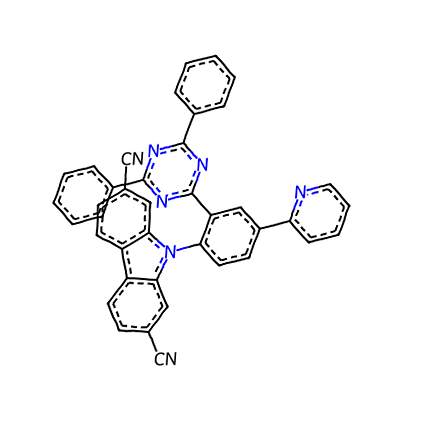 N#Cc1ccc2c3ccc(C#N)cc3n(-c3ccc(-c4ccccn4)cc3-c3nc(-c4ccccc4)nc(-c4ccccc4)n3)c2c1